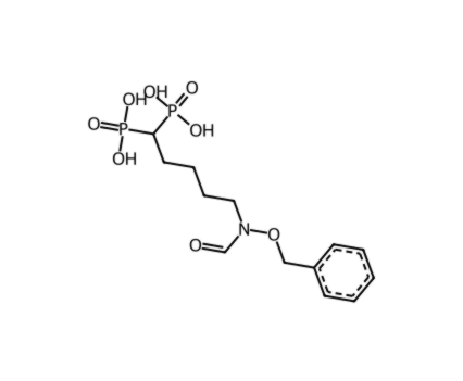 O=CN(CCCCC(P(=O)(O)O)P(=O)(O)O)OCc1ccccc1